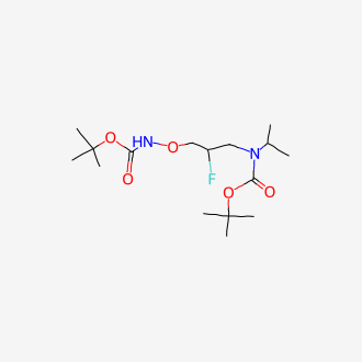 CC(C)N(CC(F)CONC(=O)OC(C)(C)C)C(=O)OC(C)(C)C